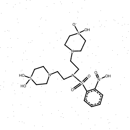 O=[N+](O)c1ccccc1S(=O)(=O)N(CCN1CCS([O-])(O)CC1)CCN1CCS(O)(O)CC1